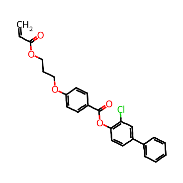 C=CC(=O)OCCCOc1ccc(C(=O)Oc2ccc(-c3ccccc3)cc2Cl)cc1